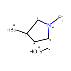 CCCCC1CCN(CC)C1.CS(=O)(=O)O